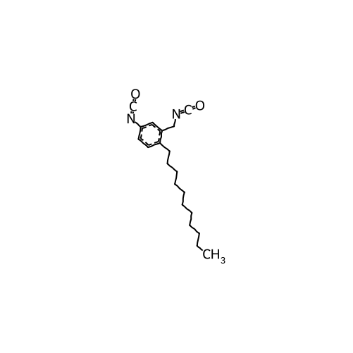 CCCCCCCCCCCc1ccc(N=C=O)cc1CN=C=O